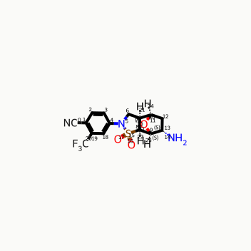 N#Cc1ccc(N2C[C@@H]3[C@@H]([C@H]4O[C@@H]3C[C@@H]4N)S2(=O)=O)cc1C(F)(F)F